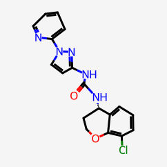 O=C(Nc1ccn(-c2ccccn2)n1)N[C@H]1CCOc2c(Cl)cccc21